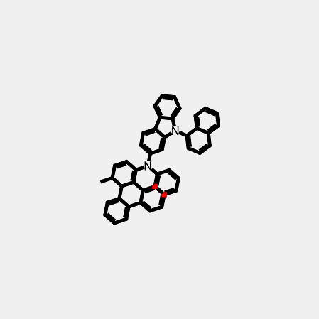 CC1C=CC(N(c2ccccc2)c2ccc3c4ccccc4n(-c4cccc5ccccc45)c3c2)=C2c3ccccc3-c3ccccc3C21